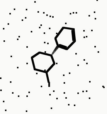 IC1CCC[C@H](C2=CC=CCC2)C1